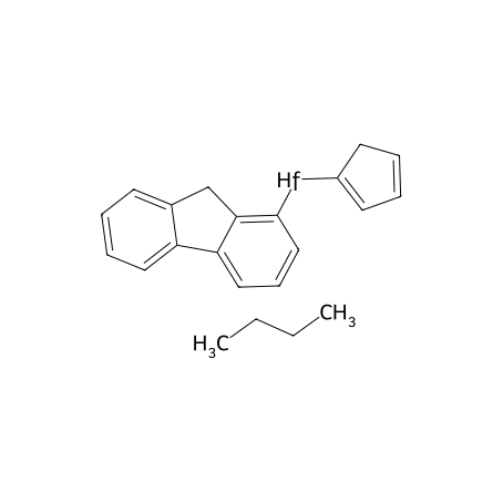 C1=CC[C]([Hf][c]2cccc3c2Cc2ccccc2-3)=C1.CCCC